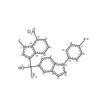 Cn1cc(C(O)(c2ccc3c(cnn3-c3ccc(F)cc3)c2)C(F)(F)F)c2cccc([N+](=O)[O-])c21